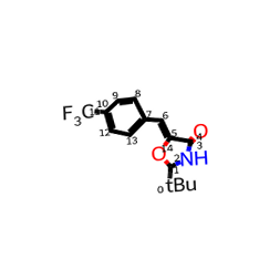 CC(C)(C)C1NC(=O)C(=Cc2ccc(C(F)(F)F)cc2)O1